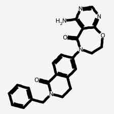 Nc1ncnc2c1C(=O)N(c1ccc3c(c1)CCN(Cc1ccccc1)C3=O)CCO2